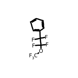 FC(F)(F)OC(F)(F)C(F)(F)c1ccccc1